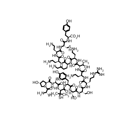 CC[C@H](C)[C@H](NC(=O)[C@@H]1C[C@@H](O)CN1C(=O)[C@@H](N)C(C)C)C(=O)N[C@H](C(=O)N[C@@H](Cc1ccc(O)cc1)C(=O)N[C@@H](CO)C(=O)N[C@@H](CO)C(=O)N[C@@H](CCCNC(=N)N)C(=O)N[C@@H](CCN)C(=O)N[C@H](C(=O)N[C@H](CCN)C(=O)N[C@@H](CCCCN)C(=O)N[C@@H](CCN)C(=O)N[C@@H](CCN)C(=O)N[C@@H](CS)C(=O)N[C@@H](Cc1ccc(O)cc1)C(=O)O)[C@@H](C)O)C(C)(C)S